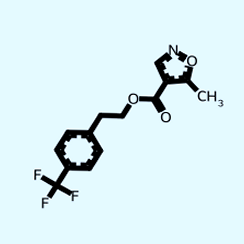 Cc1oncc1C(=O)OCCc1ccc(C(F)(F)F)cc1